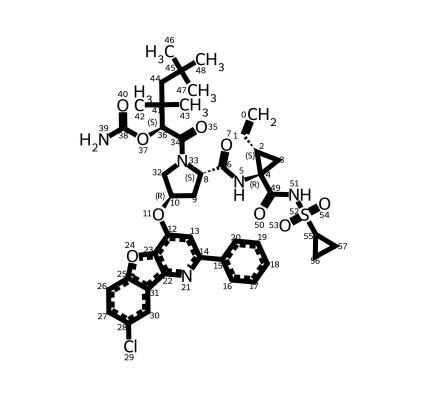 C=C[C@@H]1C[C@]1(NC(=O)[C@@H]1C[C@@H](Oc2cc(-c3ccccc3)nc3c2oc2ccc(Cl)cc23)CN1C(=O)[C@@H](OC(N)=O)C(C)(C)CC(C)(C)C)C(=O)NS(=O)(=O)C1CC1